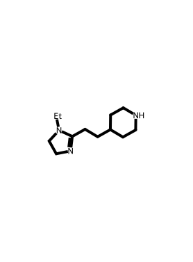 CCN1CCN=C1CCC1CCNCC1